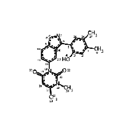 Cc1cc(O)c(-c2nsc3ccc(-n4c(=O)cc(C(F)(F)F)n(C)c4=O)cc23)cc1C